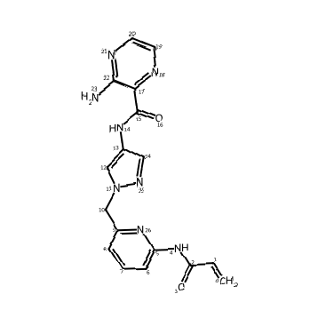 C=CC(=O)Nc1cccc(Cn2cc(NC(=O)c3nccnc3N)cn2)n1